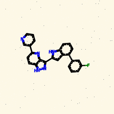 Fc1cccc(-c2cccc3[nH]c(-c4n[nH]c5ccc(-c6cccnc6)nc45)cc23)c1